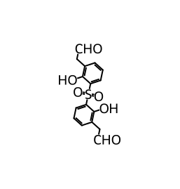 O=CCc1cccc(S(=O)(=O)c2cccc(CC=O)c2O)c1O